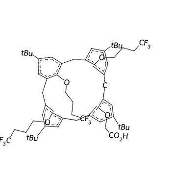 CC(C)(C)c1cc2c(OCCCC(F)(F)F)c(c1)Cc1cc(C(C)(C)C)cc(c1OCCCC(F)(F)F)Cc1cc(C(C)(C)C)cc(c1OCC(=O)O)Cc1cc(C(C)(C)C)cc(c1OCCCC(F)(F)F)C2